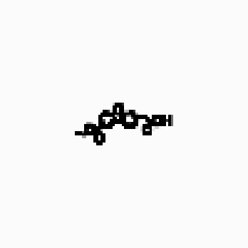 CCOC(=O)c1ccc2oc3cc(CC(=O)O)ccc3c2c1